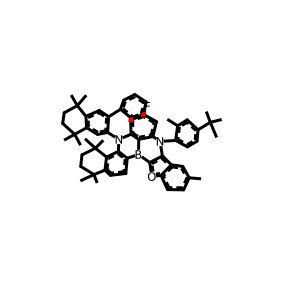 Cc1ccc2oc3c(c2c1)N(c1ccc(C(C)(C)C)cc1C)c1cc(F)cc2c1B3c1ccc3c(c1N2c1cc2c(cc1-c1ccccc1)C(C)(C)CCC2(C)C)C(C)(C)CCC3(C)C